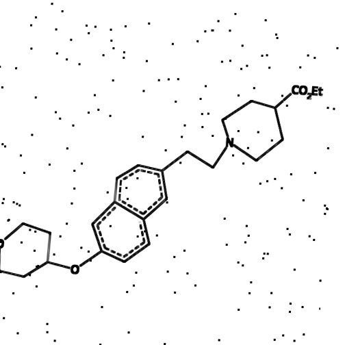 CCOC(=O)C1CCN(CCc2ccc3cc(OC4CCOCC4)ccc3c2)CC1